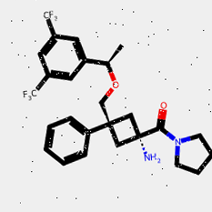 C[C@@H](OC[C@]1(c2ccccc2)C[C@](N)(C(=O)N2CCCC2)C1)c1cc(C(F)(F)F)cc(C(F)(F)F)c1